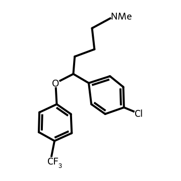 CNCCCC(Oc1ccc(C(F)(F)F)cc1)c1ccc(Cl)cc1